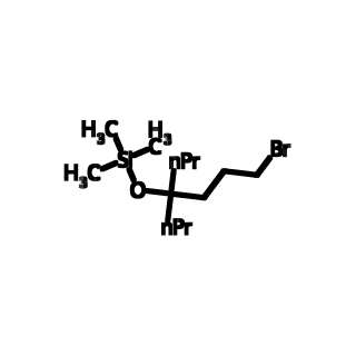 CCCC(CCC)(CCCBr)O[Si](C)(C)C